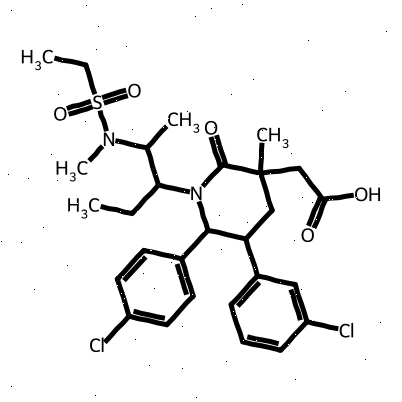 CCC(C(C)N(C)S(=O)(=O)CC)N1C(=O)C(C)(CC(=O)O)CC(c2cccc(Cl)c2)C1c1ccc(Cl)cc1